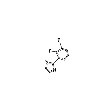 Fc1cccc(-c2n[c]cs2)c1F